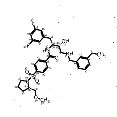 CCc1cccc(CNC[C@@H](O)[C@H](Cc2cc(F)cc(F)c2)NC(=O)c2ccc(S(=O)(=O)N3CCC[C@@H]3COC)cc2)c1